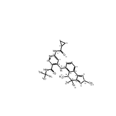 [2H]C([2H])([2H])NC(=O)c1nnc(NC(=O)C2CC2)cc1Nc1cccc2c1N(C)C([2H])([2H])c1nn(C)nc1-2